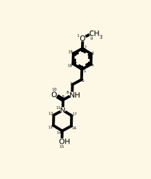 COc1ccc(CCNC(=O)N2CCC(O)CC2)cc1